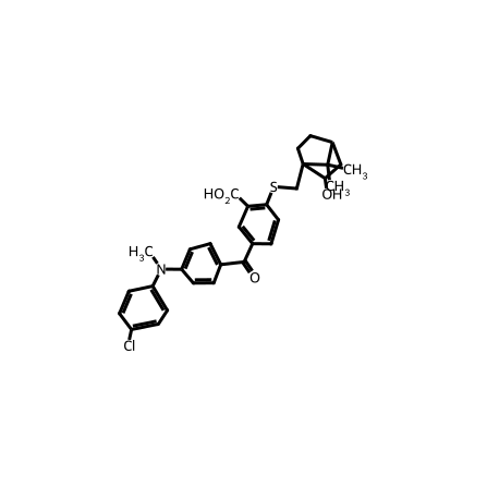 CN(c1ccc(Cl)cc1)c1ccc(C(=O)c2ccc(SCC34CCC(CC3O)C4(C)C)c(C(=O)O)c2)cc1